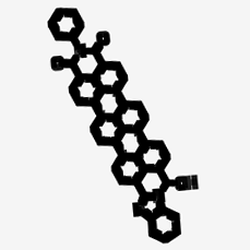 O=C1c2ccc3c4ccc5c6ccc7c8c(ccc(c9ccc(c%10ccc(c2c3%10)C(=O)N1c1ccccc1)c4c59)c86)C(O)n1c-7nc2ccccc21